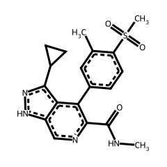 CNC(=O)c1ncc2[nH]nc(C3CC3)c2c1-c1ccc(S(C)(=O)=O)c(C)c1